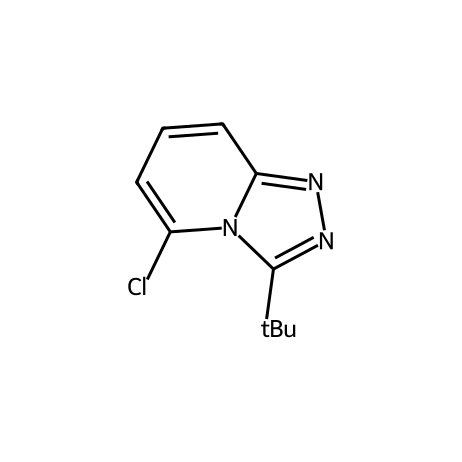 CC(C)(C)c1nnc2cccc(Cl)n12